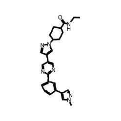 CCNC(=O)C1CCC(n2cc(-c3cnc(-c4cccc(-c5cnn(C)c5)c4)nc3)cn2)CC1